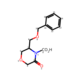 O=C(O)N1C(=O)COCC1COCc1ccccc1